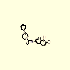 O=C1CCc2cc(/C=C/C(=O)N3CCCN(c4ccccc4)CC3)cnc2N1